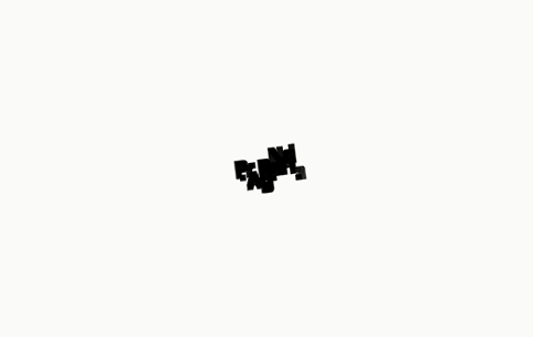 [Ag].[BaH2].[Nd].[Pr]